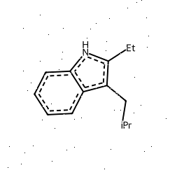 CCc1[nH]c2ccccc2c1CC(C)C